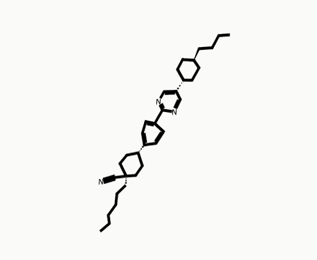 CCCCCC[C@]1(C#N)CC[C@H](c2ccc(-c3ncc([C@H]4CC[C@H](CCCC)CC4)cn3)cc2)CC1